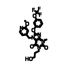 COc1cc(Cn2c(Oc3cccc(OC(F)(F)F)c3)nc3c2c(=O)n(CCCO)c(=O)n3C)ccn1